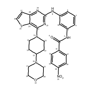 O=C(Nc1cccc(Nc2nc(N3CCC(N4CCOCC4)CC3)c3sccc3n2)c1)c1ccc([N+](=O)[O-])cc1